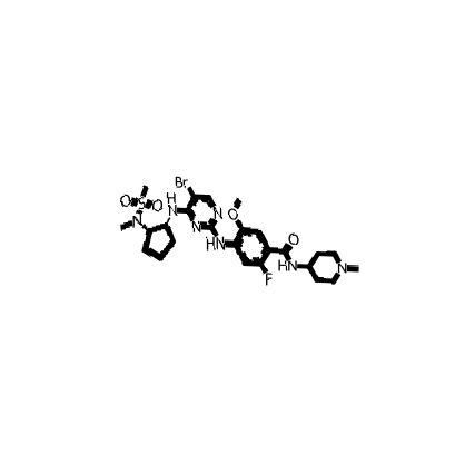 COc1cc(C(=O)NC2CCN(C)CC2)c(F)cc1Nc1ncc(Br)c(N[C@@H]2CCC[C@H]2N(C)S(C)(=O)=O)n1